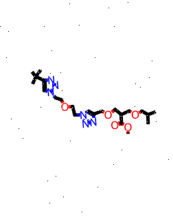 COC(=O)C(COCc1cn(CCOCCn2cc(C(C)(C)C)nn2)nn1)COCC(C)C